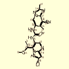 CO[C@@H](C)c1c(NC(=O)Nc2cn3nc(C)nc3c(Br)c2C)cnc2cc(Cl)nn12